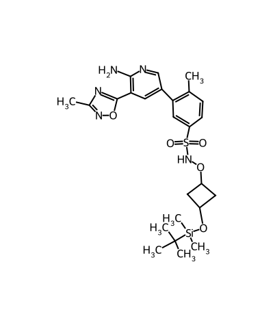 Cc1noc(-c2cc(-c3cc(S(=O)(=O)NOC4CC(O[Si](C)(C)C(C)(C)C)C4)ccc3C)cnc2N)n1